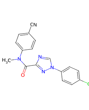 CN(C(=O)c1ncn(-c2ccc(Cl)cc2)n1)c1ccc(C#N)cc1